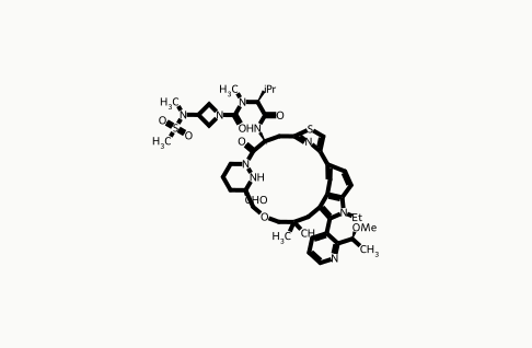 CCn1c(-c2cccnc2[C@H](C)OC)c2c3cc(ccc31)-c1csc(n1)C[C@H](NC(=O)[C@H](C(C)C)N(C)C(=O)N1CC(N(C)S(C)(=O)=O)C1)C(=O)N1CCCC(C=O)(COCC(C)(C)C2)N1